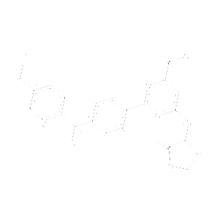 NC(=O)c1cc(NC2CCNC2=O)nc(-c2ccc(C(O)c3ccc(CF)cn3)cc2)n1